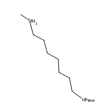 CCCCCCCCCCCC[SiH2]C